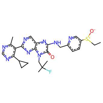 CC[S+]([O-])c1ccc(CNc2nc3cnc(-c4c(C)ncnc4C4CC4)nc3n(CC(C)(C)F)c2=O)nc1